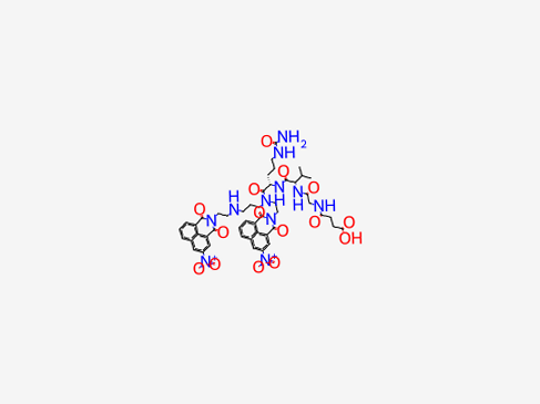 CC(C)[C@H](NC(=O)CNC(=O)CCC(=O)O)C(=O)N[C@@H](CCCNC(N)=O)C(=O)N(CCCNCCN1C(=O)c2cccc3cc([N+](=O)[O-])cc(c23)C1=O)CCN1C(=O)c2cccc3cc([N+](=O)[O-])cc(c23)C1=O